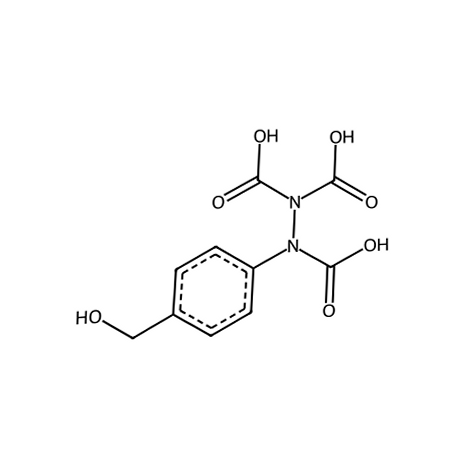 O=C(O)N(C(=O)O)N(C(=O)O)c1ccc(CO)cc1